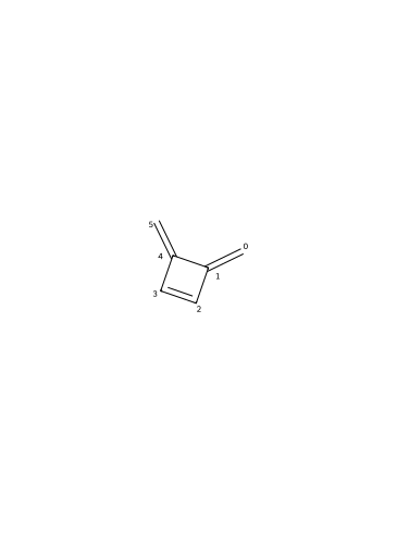 C=C1C=CC1=C